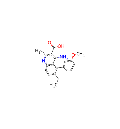 CCc1ccc2nc(C)c(C(=O)O)c(N)c2c1-c1cccc(OC)c1